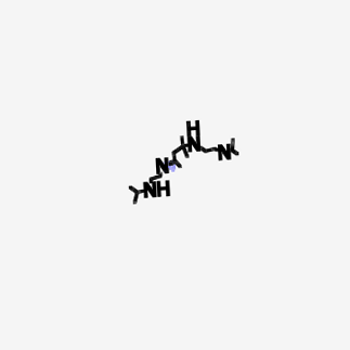 CC(C)=NCCNC(C)(C)C/C(C)=N/CCNC(C)C